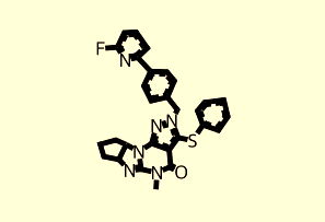 CN1C(=O)c2c(nn(Cc3ccc(-c4cccc(F)n4)cc3)c2Sc2ccccc2)N2C1=NC1CCCC12